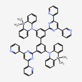 C[Si]1(C)c2ccccc2N(c2cc(-c3cc(-c4nc(-c5cccnc5)cc(-c5ccccn5)n4)cc(N4c5ccccc5[Si](C)(C)c5ccccc54)c3)cc(-c3nc(-c4cccnc4)cc(-c4ccccn4)n3)c2)c2ccccc21